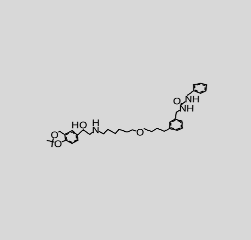 CC1(C)OCc2cc([C@@H](O)CNCCCCCCOCCCCc3cccc(CNC(=O)NCc4ccccc4)c3)ccc2O1